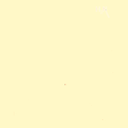 CC(C)(C)C(=O)OC[C@H](COP(=O)(O)OCCN)OC(=O)C(C)(C)C